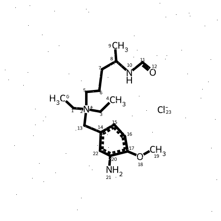 CC[N+](CC)(CCCC(C)NC=O)Cc1ccc(OC)c(N)c1.[Cl-]